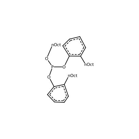 CCCCCCCCOP(Oc1ccccc1CCCCCCCC)Oc1ccccc1CCCCCCCC